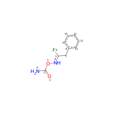 NC(=O)ONC(F)Cc1ccccc1